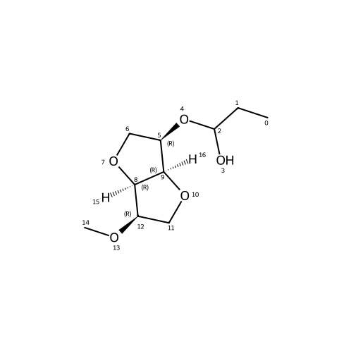 CCC(O)O[C@@H]1CO[C@H]2[C@@H]1OC[C@H]2OC